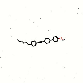 CCCCCCc1ccc(C#CC2CCC(c3ccc(OCC)cc3)CC2)cc1